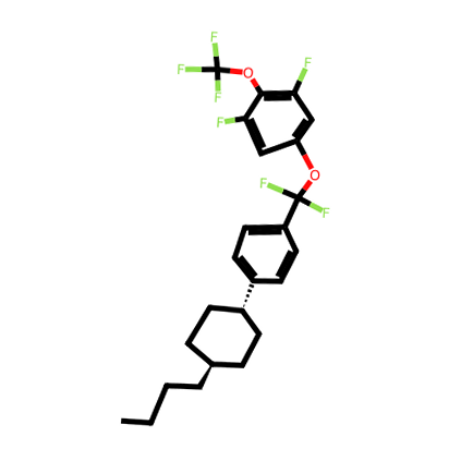 CCCC[C@H]1CC[C@H](c2ccc(C(F)(F)Oc3cc(F)c(OC(F)(F)F)c(F)c3)cc2)CC1